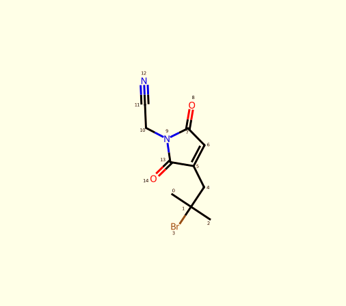 CC(C)(Br)CC1=CC(=O)N(CC#N)C1=O